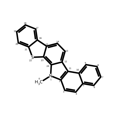 Cn1c2ccc3ccccc3c2c2ccc3c4ccccc4sc3c21